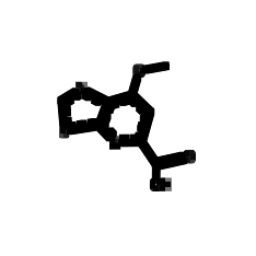 COc1cc(C(=O)O)nc2scnc12